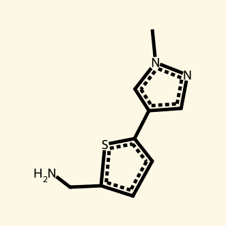 Cn1cc(-c2ccc(CN)s2)cn1